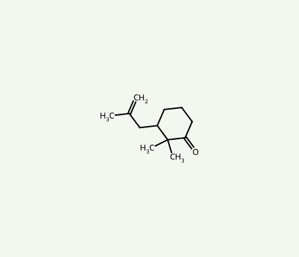 C=C(C)CC1CCCC(=O)C1(C)C